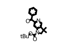 CC(C)(C)OC(=O)N1CC(C)(C)c2cnc(C(=O)c3ccccc3)cc21